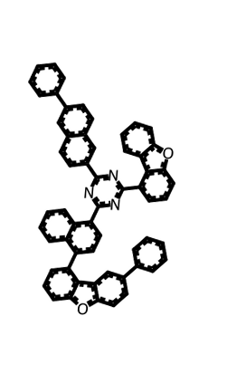 c1ccc(-c2ccc3cc(-c4nc(-c5ccc(-c6cccc7oc8ccc(-c9ccccc9)cc8c67)c6ccccc56)nc(-c5cccc6oc7ccccc7c56)n4)ccc3c2)cc1